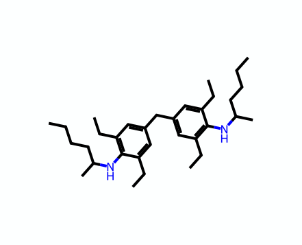 CCCCC(C)Nc1c(CC)cc(Cc2cc(CC)c(NC(C)CCCC)c(CC)c2)cc1CC